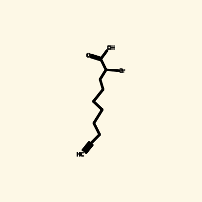 C#CCCCCCCC(Br)C(=O)O